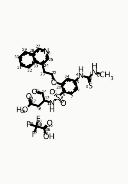 CNC(=S)Nc1ccc(S(=O)(=O)NC(C=O)CC(=O)O)c(OCCc2cncc3ccccc23)c1.O=C(O)C(F)(F)F